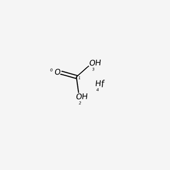 O=C(O)O.[Hf]